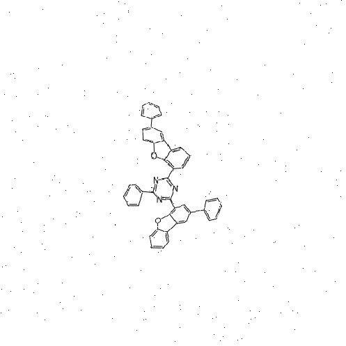 c1ccc(-c2ccc3oc4c(-c5nc(-c6ccccc6)nc(-c6cc(-c7ccccc7)cc7c6oc6ccccc67)n5)cccc4c3c2)cc1